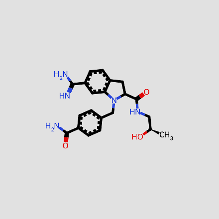 C[C@@H](O)CNC(=O)C1Cc2ccc(C(=N)N)cc2N1Cc1ccc(C(N)=O)cc1